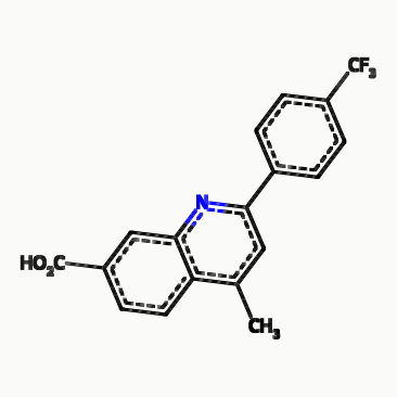 Cc1cc(-c2ccc(C(F)(F)F)cc2)nc2cc(C(=O)O)ccc12